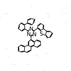 c1ccc(-c2ccccc2-c2nc(-c3cc4c5ccccc5ccc4c4ccccc34)nc(-c3cccc4c3sc3ccccc34)n2)cc1